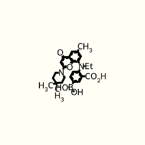 CCN(c1ccc(B(O)O)cc1C(=O)O)c1cc(C)cc2c(=O)cc(N3CCC(C)(C)CC3)oc12